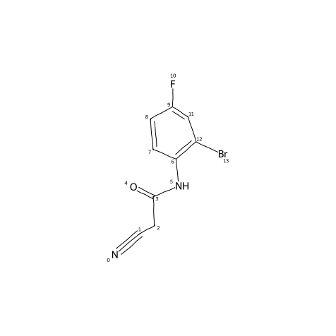 N#CCC(=O)Nc1ccc(F)cc1Br